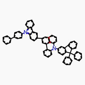 c1ccc(-c2ccc(-n3c4ccccc4c4cc(-c5cccc(-c6ccccc6N(c6ccccc6)c6ccc7c(c6)-c6ccccc6C7(c6ccccc6)c6ccccc6)c5)ccc43)cc2)cc1